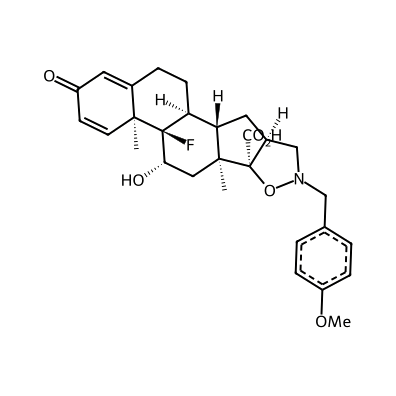 COc1ccc(CN2C[C@@H]3C[C@H]4[C@@H]5CCC6=CC(=O)C=C[C@]6(C)[C@@]5(F)[C@@H](O)C[C@]4(C)[C@]3(C(=O)O)O2)cc1